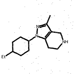 CCC1CCC(n2nc(C)c3c2CCNC3)CC1